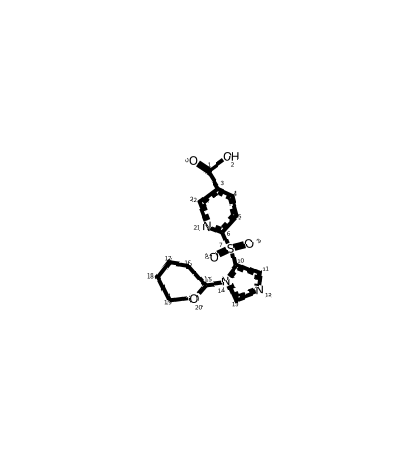 O=C(O)c1ccc(S(=O)(=O)c2cncn2C2CCCCO2)nc1